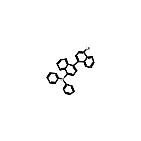 Brc1ccc(-c2ccc(N(c3ccccc3)c3ccccc3)c3ccccc23)c2ccccc12